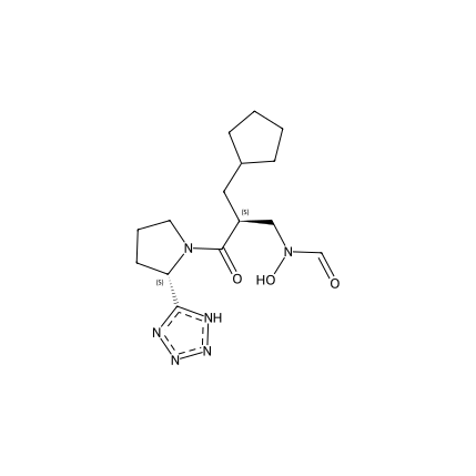 O=CN(O)C[C@H](CC1CCCC1)C(=O)N1CCC[C@H]1c1nnn[nH]1